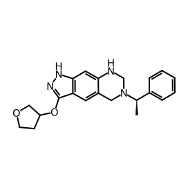 C[C@H](c1ccccc1)N1CNc2cc3[nH]nc(OC4CCOC4)c3cc2C1